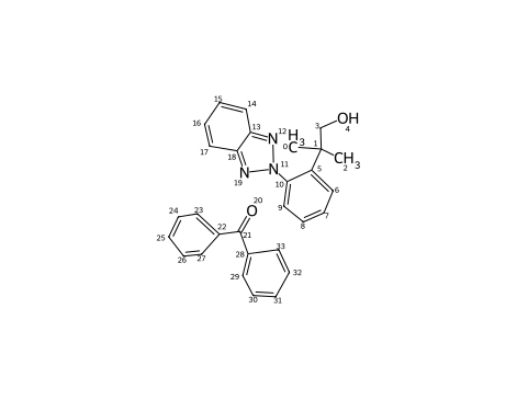 CC(C)(CO)c1ccccc1-n1nc2ccccc2n1.O=C(c1ccccc1)c1ccccc1